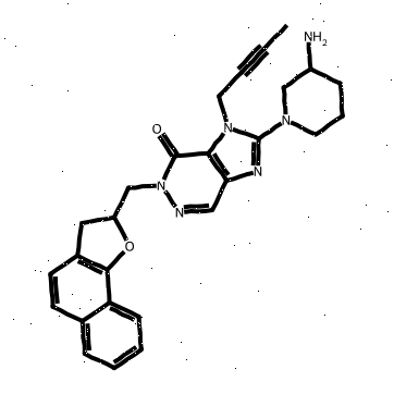 CC#CCn1c(N2CCCC(N)C2)nc2cnn(CC3Cc4ccc5ccccc5c4O3)c(=O)c21